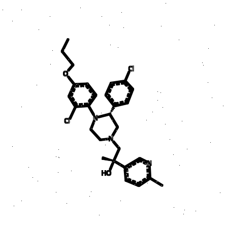 CCCOc1ccc(N2CCN(C[C@@](C)(O)c3ccc(C)nc3)C[C@H]2c2ccc(Cl)cc2)c(Cl)c1